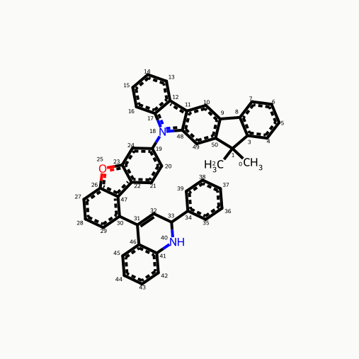 CC1(C)c2ccccc2-c2cc3c4ccccc4n(-c4ccc5c(c4)oc4cccc(C6=CC(c7ccccc7)Nc7ccccc76)c45)c3cc21